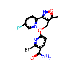 CCc1nc(OCc2c(-c3ccc(F)cn3)noc2C)ccc1C(N)=O